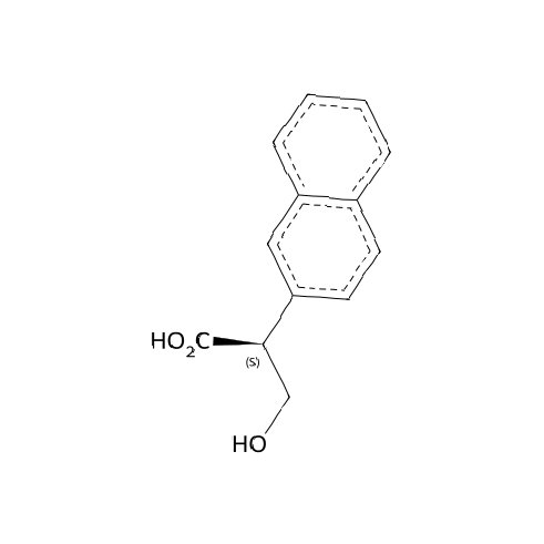 O=C(O)[C@H](CO)c1ccc2ccccc2c1